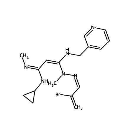 C=C(Br)/C=N\N(C)/C(=C\C(=N/C)NC1CC1)NCc1cccnc1